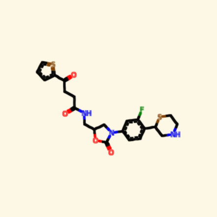 O=C(CCC(=O)c1cccs1)NCC1CN(c2ccc(C3CNCCS3)c(F)c2)C(=O)O1